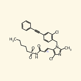 CCCCCS(=O)(=O)NC(=O)/C=C/c1c(Cl)nc(C)n1Cc1ccc(C#Cc2ccccc2)cc1Cl